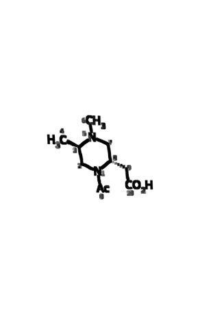 CC(=O)N1C[C@@H](C)N(C)C[C@@H]1CC(=O)O